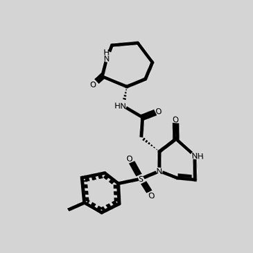 Cc1ccc(S(=O)(=O)N2C=CNC(=O)[C@H]2CC(=O)N[C@H]2CCCCNC2=O)cc1